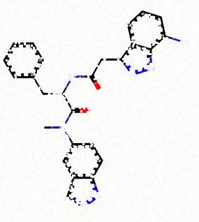 CN(C(=O)[C@@H](Cc1ccccc1)NC(=O)Cc1n[nH]c2c(N)cccc12)c1ccc2[nH]ncc2c1